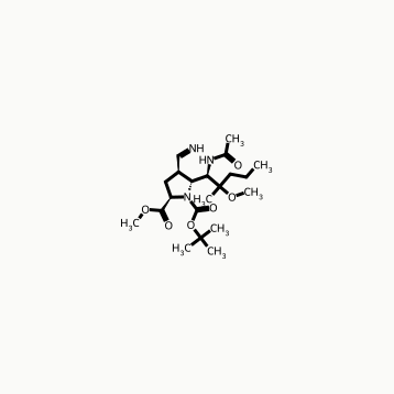 CCCC(C)(OC)[C@H](NC(C)=O)[C@H]1[C@H](C=N)C[C@H](C(=O)OC)N1C(=O)OC(C)(C)C